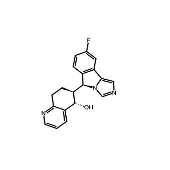 O[C@@H]1c2cccnc2CC[C@H]1[C@H]1c2ccc(F)cc2-c2cncn21